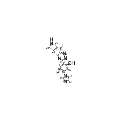 C=C(c1cnc(-c2cc(F)c(-n3ccnc3)cc2O)nn1)C1CCNC1